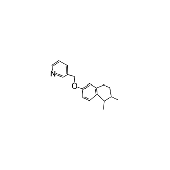 CC1CCc2cc(OCc3cccnc3)ccc2C1C